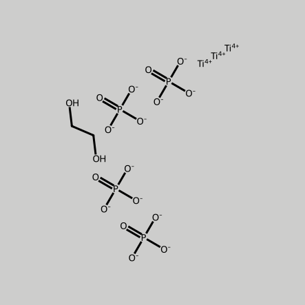 O=P([O-])([O-])[O-].O=P([O-])([O-])[O-].O=P([O-])([O-])[O-].O=P([O-])([O-])[O-].OCCO.[Ti+4].[Ti+4].[Ti+4]